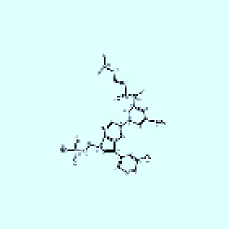 COc1cc(-c2cnc3c(c2)c(-c2cccc(C#N)c2)cn3COP(=O)(O)O)cc(N(C)C(=O)/C=C/CN(C)C)c1